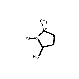 CC1CC[C@@H](C)[S+]1[O-]